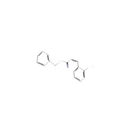 COc1ccccc1/C=C\C(=N)NCc1ccccc1